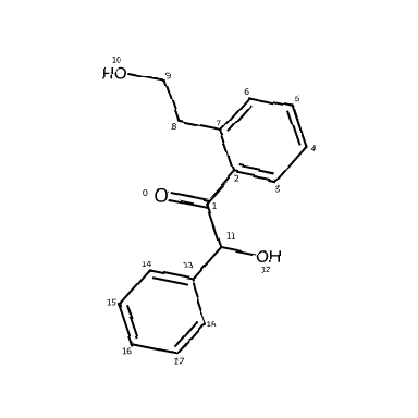 O=C(c1ccccc1CCO)C(O)c1ccccc1